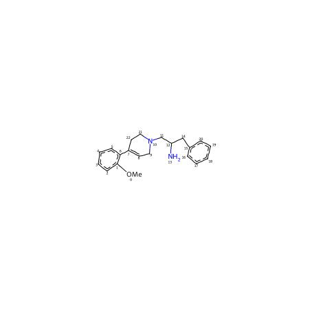 COc1ccccc1C1=CCN(CC(N)Cc2ccccc2)CC1